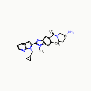 C=C(c1cc2nc(-c3cc4cccnc4n3CC3CC3)n(C)c2cc1C)N1CCC[C@@H](N)C1